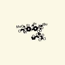 CC(C)Oc1cc(-n2nc(C(C)(C)C)oc2=O)c(Cl)cc1Cl.CC1(C)OC(c2ccco2)CN1C(=O)C(Cl)Cl.CCc1cccc(CC)c1N(COC)C(=O)CCl